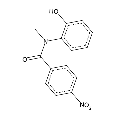 CN(C(=O)c1ccc([N+](=O)[O-])cc1)c1ccccc1O